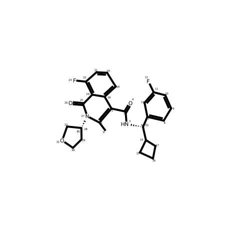 Cc1c(C(=O)N[C@H](c2cccc(F)c2)C2CCC2)c2cccc(F)c2c(=O)n1[C@@H]1CCOC1